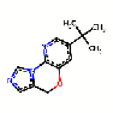 CC(C)(C)c1cnc2c(c1)OCc1cncn1-2